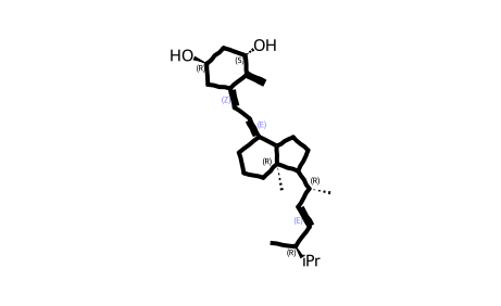 C=C1/C(=C\C=C2/CCC[C@@]3(C)C2CCC3[C@H](C)/C=C/[C@H](C)C(C)C)C[C@@H](O)C[C@@H]1O